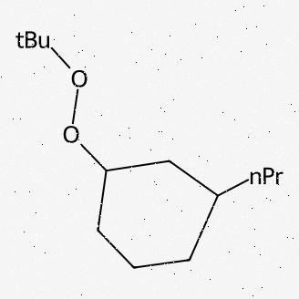 CCCC1CCCC(OOC(C)(C)C)C1